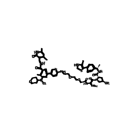 CCN(c1cc(-c2ccc(NCCOCCOCC(=O)NC(C(=O)N3C[C@H](O)C[C@H]3C(=O)N[C@@H](C)c3ccc(C4=C(C)NCS4)cc3)C(C)(C)C)nc2)cc(C(=O)NCc2c(C)cc(C)[nH]c2=O)c1C)C1CCOCC1